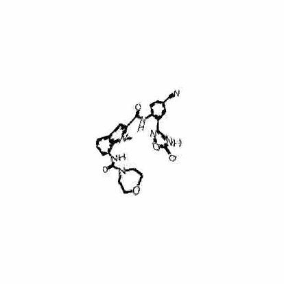 Cn1c(C(=O)Nc2ccc(C#N)cc2-c2noc(=O)[nH]2)cc2cccc(NC(=O)N3CCOCC3)c21